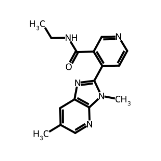 CCNC(=O)c1cnccc1-c1nc2cc(C)cnc2n1C